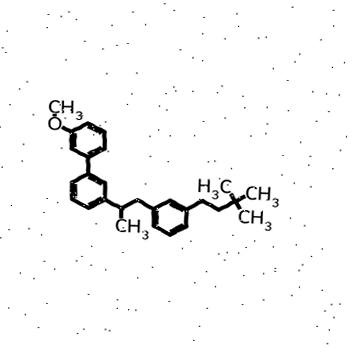 COc1cccc(-c2cccc(C(C)Cc3cccc(CCC(C)(C)C)c3)c2)c1